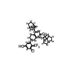 [2H]C([2H])(Oc1nc2c(c(N3CC4CCC(C3)N4)n1)CCN(c1cc(O)cc(Cl)c1C(F)(F)F)C2)C12CCCN1CCC2